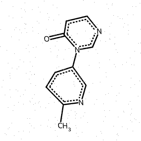 Cc1ccc(-n2cnccc2=O)cn1